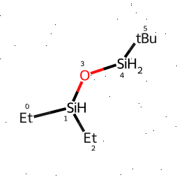 CC[SiH](CC)O[SiH2]C(C)(C)C